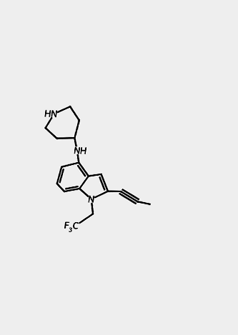 CC#Cc1cc2c(NC3CCNCC3)cccc2n1CC(F)(F)F